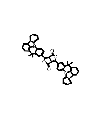 CC1(C)c2cc(C3=C4C(=O)OC(c5ccc6c(c5)C(C)(C)c5cccc7c8ccccc8n-6c57)=C4C(=O)O3)ccc2-n2c3ccccc3c3cccc1c32